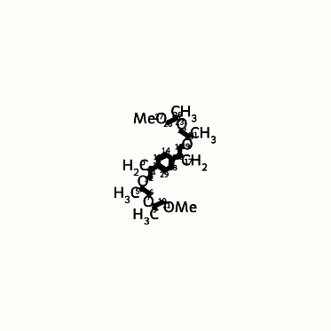 C=C(COC(C)COC(C)COC)c1ccc(C(=C)COC(C)COC(C)COC)cc1